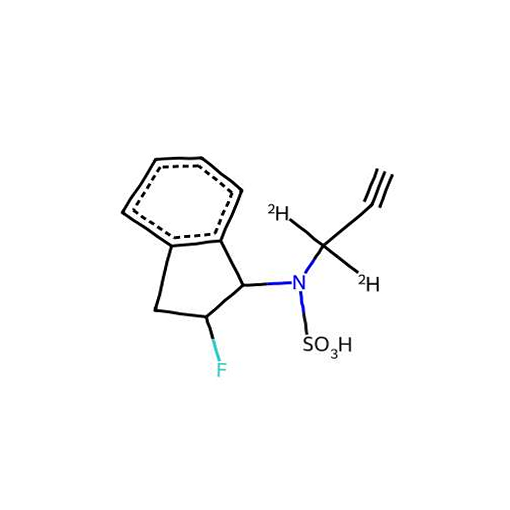 [2H]C([2H])(C#C)N(C1c2ccccc2CC1F)S(=O)(=O)O